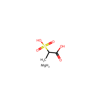 CC(C(=O)O)S(=O)(=O)O.[MgH2]